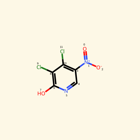 O=[N+]([O-])c1cnc(O)c(Cl)c1Cl